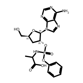 CC(NP(=O)(Oc1ccccc1)O[C@@H]1C[C@@H](CO)O[C@H]1n1cnc2c(N)ncnc21)C(=O)O